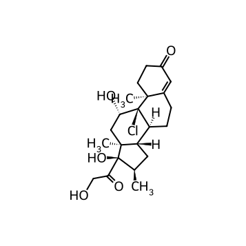 C[C@@H]1C[C@H]2[C@@H]3CCC4=CC(=O)CC[C@]4(C)[C@@]3(Cl)[C@@H](O)C[C@]2(C)[C@@]1(O)C(=O)CO